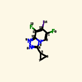 Fc1cn2c(C3CC3)nnc2c(F)c1I